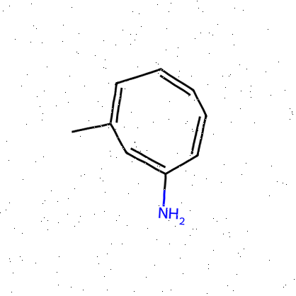 CC1=C/C=C\C=C/C(N)=C\1